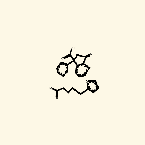 O=C(O)CCCCc1cccs1.O=C1CC(C(=O)O)(c2ccccc2)c2ccccc21